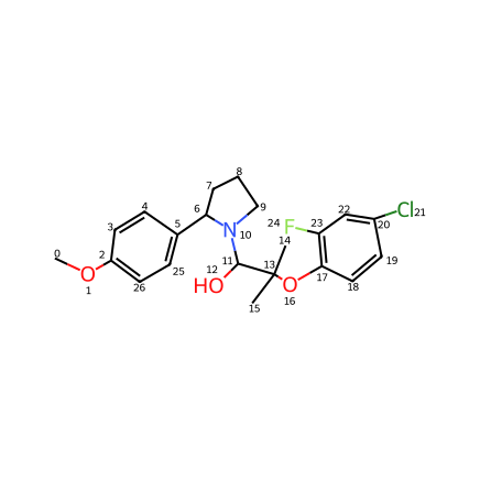 COc1ccc(C2CCCN2C(O)C(C)(C)Oc2ccc(Cl)cc2F)cc1